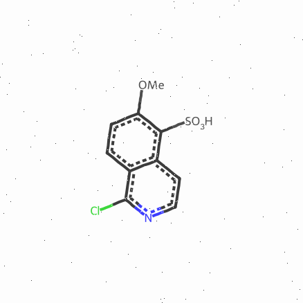 COc1ccc2c(Cl)nccc2c1S(=O)(=O)O